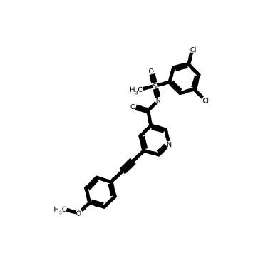 COc1ccc(C#Cc2cncc(C(=O)N=S(C)(=O)c3cc(Cl)cc(Cl)c3)c2)cc1